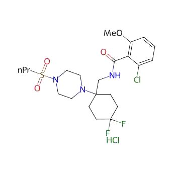 CCCS(=O)(=O)N1CCN(C2(CNC(=O)c3c(Cl)cccc3OC)CCC(F)(F)CC2)CC1.Cl